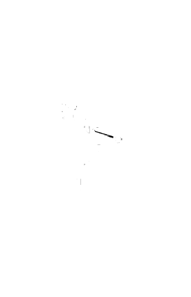 [Cl-].[Cl-].[Cl-].[Cl-].[OH][Al+2].[Zn+2]